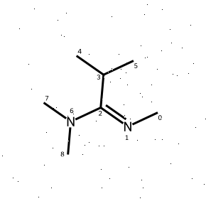 C/N=C(\C(C)C)N(C)C